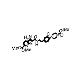 COC(OC)c1ccc2c(N)c(C(=O)NCCc3ccc(N4CCN(C(=O)OC(C)(C)C)CC4)c(Cl)c3)sc2n1